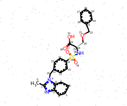 Cc1nc2ccccc2n1Cc1ccc(S(=O)(=O)N[C@@H](COCc2ccccc2)C(=O)O)cc1